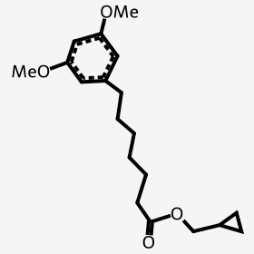 COc1cc(CCCCCCC(=O)OCC2CC2)cc(OC)c1